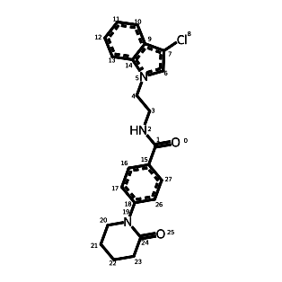 O=C(NCCn1cc(Cl)c2ccccc21)c1ccc(N2CCCCC2=O)cc1